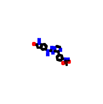 CS(=O)(=O)Nc1cccc(-c2nccn3nc(Nc4ccc5c(c4)CC(=O)N5)nc23)c1